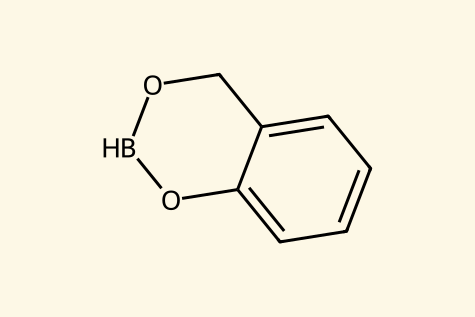 B1OCc2ccccc2O1